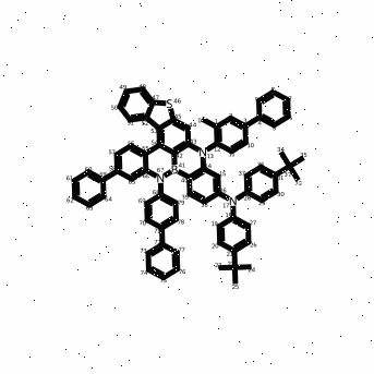 Cc1cc(-c2ccccc2)ccc1N1c2cc(N(c3ccc(C(C)(C)C)cc3)c3ccc(C(C)(C)C)cc3)ccc2B2c3c1cc1sc4ccccc4c1c3-c1ccc(-c3ccccc3)cc1N2c1ccc(-c2ccccc2)cc1